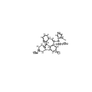 Cn1cncc1[C@H](NC(C)(C)C)C1=Cc2cccnc2[C@H](N2CCN(C(C)(C)C)CC2)c2ccc(Cl)cc21